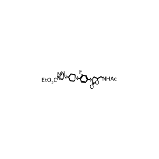 CCOC(=O)N1CN(C2CCN(c3ccc(N4CC(CNC(C)=O)OC4=O)cc3F)CC2)N=N1